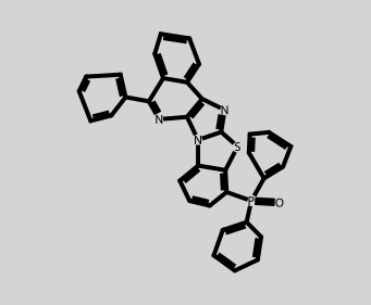 O=P(c1ccccc1)(c1ccccc1)c1cccc2c1sc1nc3c4ccccc4c(-c4ccccc4)nc3n12